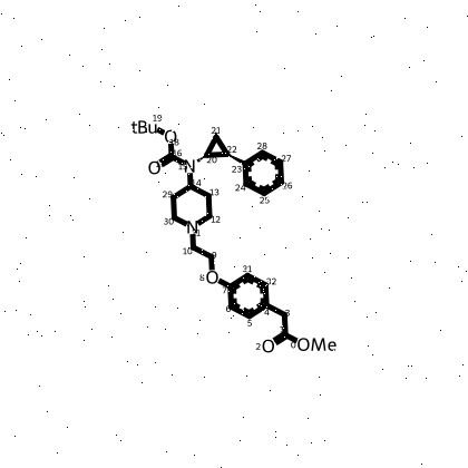 COC(=O)Cc1ccc(OCCN2CCC(N(C(=O)OC(C)(C)C)[C@@H]3C[C@H]3c3ccccc3)CC2)cc1